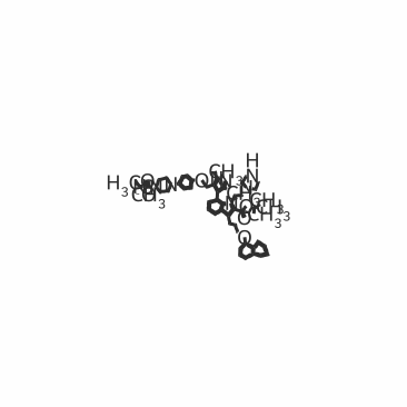 Cc1nn(C)c(COc2ccc(N3CCN(S(=O)(=O)N(C)C)CC3)cc2)c1-c1cccc2c(CCCOc3cccc4ccccc34)c(C(=O)OC(C)(C)C)n(CCN3CCNCC3)c12